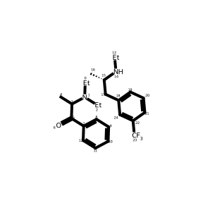 CCN(CC)C(C)C(=O)c1ccccc1.CCN[C@@H](C)Cc1cccc(C(F)(F)F)c1